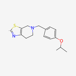 CC(C)Oc1ccc(CN2CCc3n[c]sc3C2)cc1